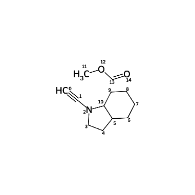 C#CN1CCC2CCCCC21.COC=O